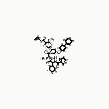 CCC[C@H](NC(=O)[C@@H]1C[C@@H](Oc2ccc(-c3ccccc3)cc2)CN1C(=O)[C@@H](NC(=O)[C@@H](NC(=O)c1cnccn1)C1CCCCC1)C(C)(C)C)C(=O)C(=O)NC1CC1